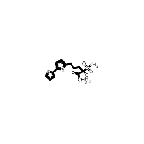 CC(=O)C(C)(CCCc1ccc(-c2cccs2)s1)S(C)(=O)=O